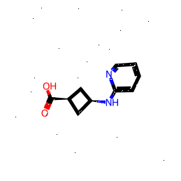 O=C(O)[C@H]1C[C@@H](Nc2ccccn2)C1